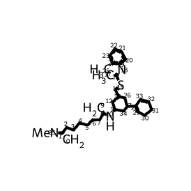 C=C(CCCCCCC(=C)NC1CC(CS/C(C)=N/c2ccccc2C)CC(C2=CCCC=C2)C1)NC